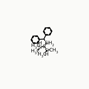 C[SiH](C)P([SiH2]C(c1ccccc1)c1ccccc1)[SiH](C)C